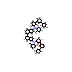 Cc1ccccc1N(c1ccc2c(ccc3sc4ccc5cc(N(c6ccccc6C)c6cccc7c6oc6c(-c8ccccc8)cccc67)ccc5c4c32)c1)c1cccc2c1oc1c(-c3ccccc3)cccc12